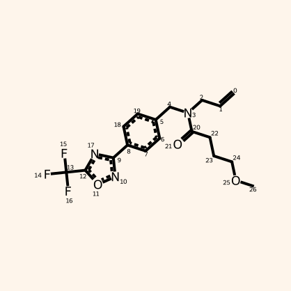 C=CCN(Cc1ccc(-c2noc(C(F)(F)F)n2)cc1)C(=O)CCCOC